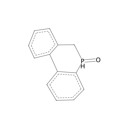 O=[PH]1Cc2ccccc2-c2ccccc21